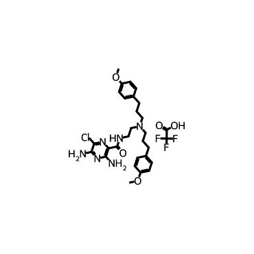 COc1ccc(CCCN(CCCc2ccc(OC)cc2)CCNC(=O)c2nc(Cl)c(N)nc2N)cc1.O=C(O)C(F)(F)F